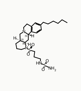 CCCCCCc1ccc2c(c1)CCN1C[C@@H]3CCCN(S(=O)(=O)CCCNS(N)(=O)=O)[C@@H]3C[C@@H]21